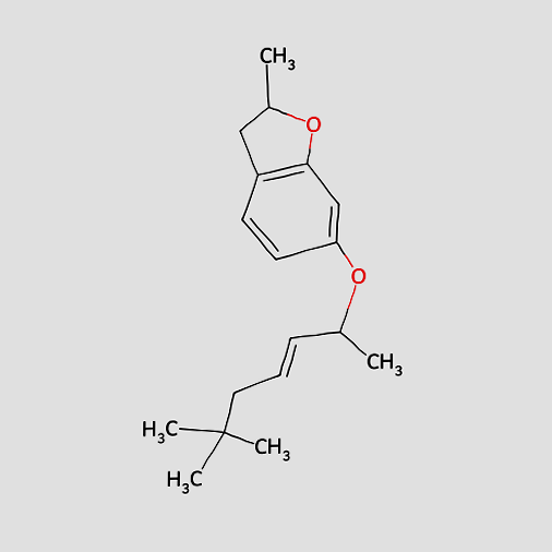 CC(C=CCC(C)(C)C)Oc1ccc2c(c1)OC(C)C2